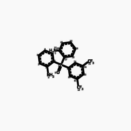 Nc1ccccc1P(=O)(c1cc(C(F)(F)F)cc(C(F)(F)F)c1)c1ccccc1N